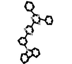 c1ccc(-c2nc(-c3ccccc3)nc(-c3cnc(-c4cccc(-n5c6ccccc6c6ccccc65)c4)nc3)n2)cc1